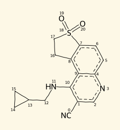 N#Cc1cnc2ccc3c(c2c1NCC1CC1)CCS3(=O)=O